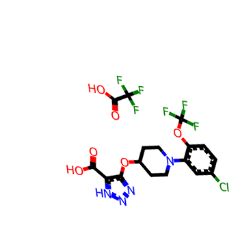 O=C(O)C(F)(F)F.O=C(O)c1[nH]nnc1OC1CCN(c2cc(Cl)ccc2OC(F)(F)F)CC1